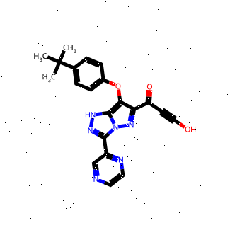 CC(C)(C)c1ccc(Oc2c(C(=O)C#CO)nn3c(-c4cnccn4)n[nH]c23)cc1